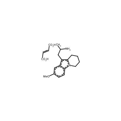 COc1ccc2c(c1)c(CC(C)N)c1n2CCCC1.O=C(O)C=CC(=O)O